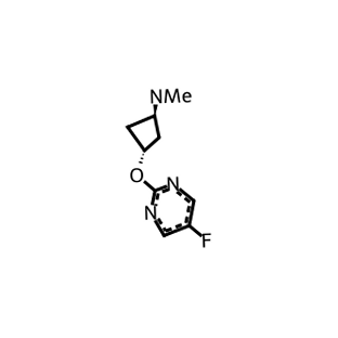 CN[C@H]1C[C@H](Oc2ncc(F)cn2)C1